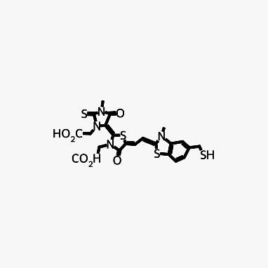 CN1C(=O)/C(=c2\sc(=C/C=C3\Sc4ccc(CS)cc4N3C)c(=O)n2CC(=O)O)N(CC(=O)O)C1=S